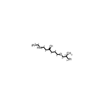 CC(C)CNCCC(=O)CCCOCC(C)C(C)C